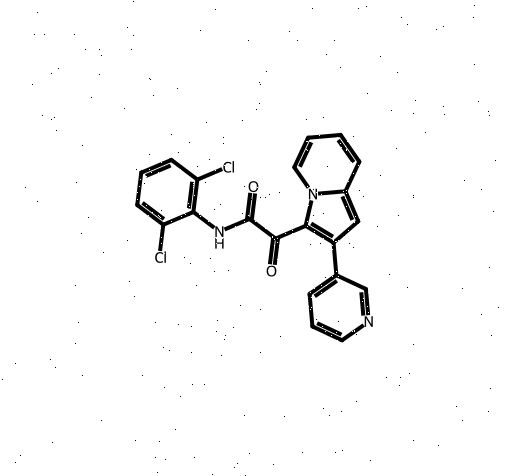 O=C(Nc1c(Cl)cccc1Cl)C(=O)c1c(-c2cccnc2)cc2ccccn12